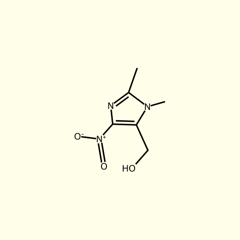 Cc1nc([N+](=O)[O-])c(CO)n1C